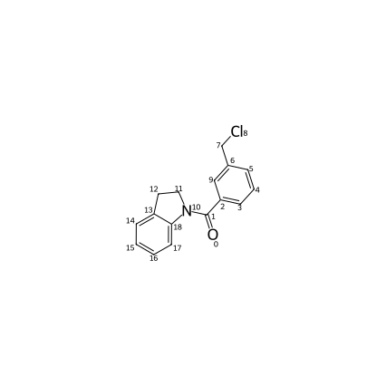 O=C(c1cccc(CCl)c1)N1CCc2ccccc21